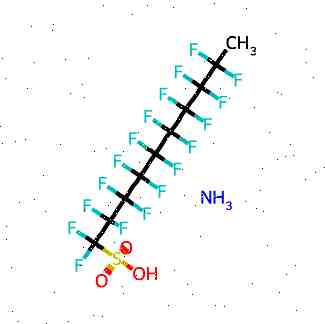 CC(F)(F)C(F)(F)C(F)(F)C(F)(F)C(F)(F)C(F)(F)C(F)(F)C(F)(F)C(F)(F)S(=O)(=O)O.N